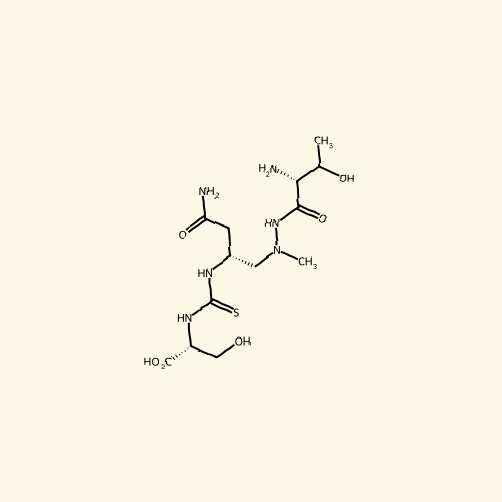 CC(O)[C@@H](N)C(=O)NN(C)C[C@@H](CC(N)=O)NC(=S)N[C@H](CO)C(=O)O